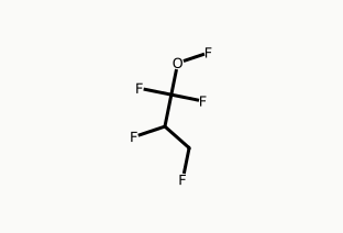 FCC(F)C(F)(F)OF